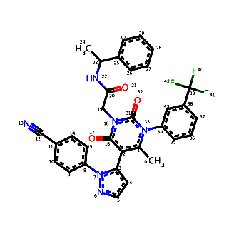 Cc1c(-c2ccnn2-c2ccc(C#N)cc2)c(=O)n(CC(=O)NC(C)c2ccccc2)c(=O)n1-c1cccc(C(F)(F)F)c1